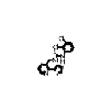 S=C(NCc1cccnc1-c1cccs1)Nc1cccc(Cl)c1Cl